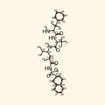 CNC(C(=O)NC(C(=O)N(C)C(/C=C(\C)C(=O)NS(=O)(=O)c1ccc2ccccc2c1)C(C)C)C(C)(C)C)C(C)(C)c1ccccc1